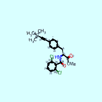 COC(=O)[C@H](Cc1ccc(C#C[Si](C)(C)C)cc1)NC(=O)c1c(Cl)cccc1Cl